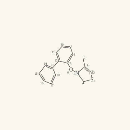 CC1=NSCN1Oc1ccccc1-c1ccccc1